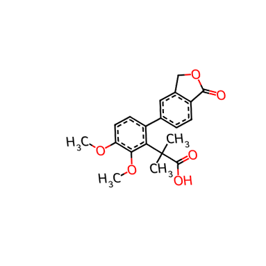 COc1ccc(-c2ccc3c(c2)COC3=O)c(C(C)(C)C(=O)O)c1OC